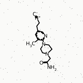 [C-]#[N+]CCc1cnc(N2CCN(CC(N)=O)CC2)c(C)c1